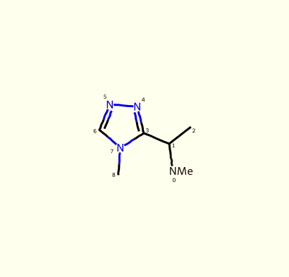 CNC(C)c1nncn1C